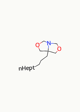 CCCCCCCCCCC12COCN1COC2